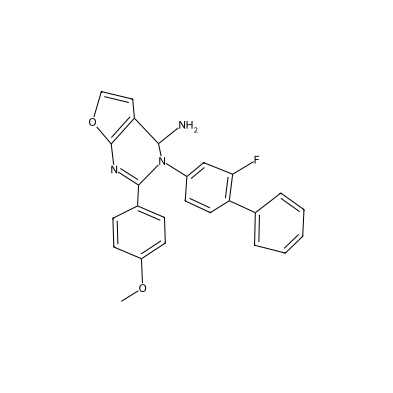 COc1ccc(C2=Nc3occc3C(N)N2c2ccc(-c3ccccc3)c(F)c2)cc1